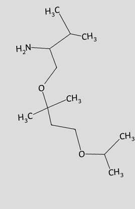 CC(C)OCCC(C)(C)OCC(N)C(C)C